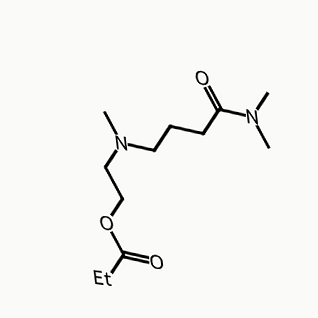 CCC(=O)OCCN(C)CCCC(=O)N(C)C